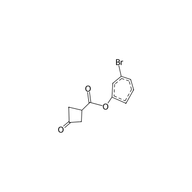 O=C1CC(C(=O)Oc2cccc(Br)c2)C1